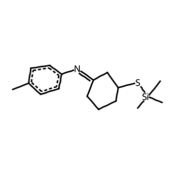 Cc1ccc(N=C2CCCC(S[Si](C)(C)C)C2)cc1